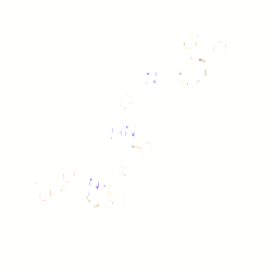 CCOC(=O)Cc1csc(SCC(=O)NC[C@H]2CN(Cc3cccc(Cl)c3Cl)CCO2)n1